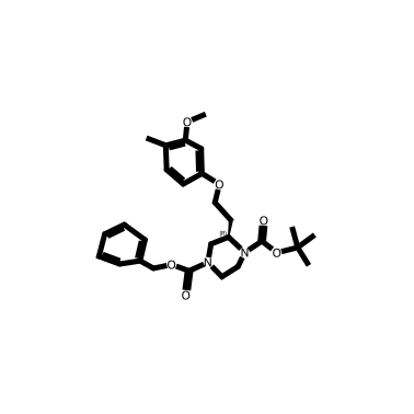 COc1cc(OCC[C@@H]2CN(C(=O)OCc3ccccc3)CCN2C(=O)OC(C)(C)C)ccc1C